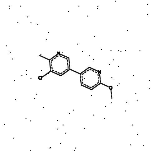 COc1ccc(-c2cnc(C)c(Cl)c2)cn1